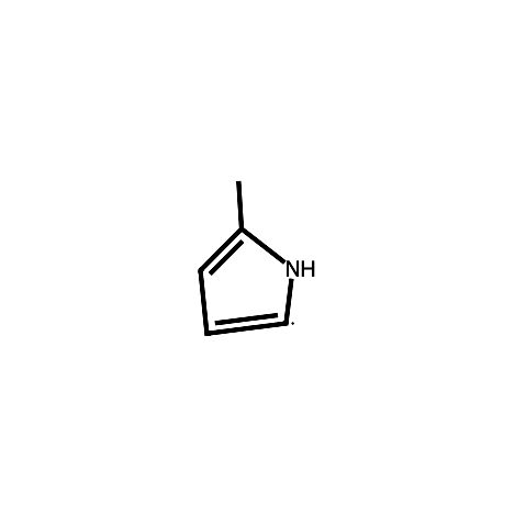 Cc1cc[c][nH]1